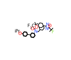 CC(C)Oc1ccc(-c2cccc(N(CC3CCC4(c5noc(C(C)(C)F)n5)CCCC3C4)C(=O)OC(C)(C)C(F)(F)F)c2)cc1